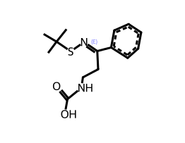 CC(C)(C)S/N=C(\CCNC(=O)O)c1ccccc1